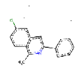 Cc1nc(-c2ccccc2)cc2cc(Cl)ccc12